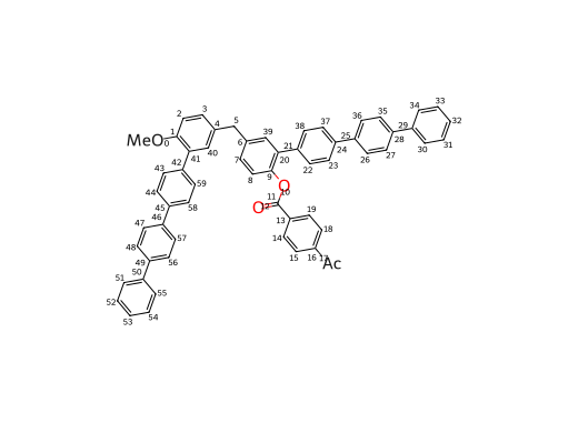 COc1ccc(Cc2ccc(OC(=O)c3ccc(C(C)=O)cc3)c(-c3ccc(-c4ccc(-c5ccccc5)cc4)cc3)c2)cc1-c1ccc(-c2ccc(-c3ccccc3)cc2)cc1